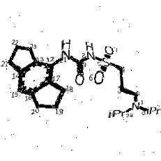 CC(C)N(CCCS(=O)(=O)NC(=O)Nc1c2c(cc3c1CCC3)CCC2)C(C)C